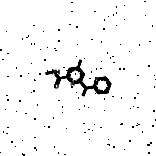 CNC(=O)c1cc(C)cc(C(C)c2ccccn2)n1